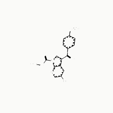 COc1ccc(C(=O)c2cn(C(=O)OC(C)(C)C)c3ncc(Br)cc23)cc1